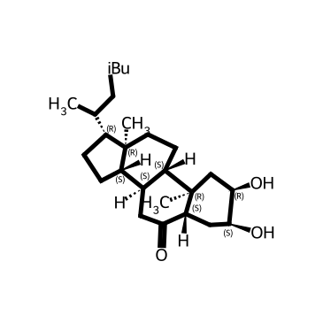 CCC(C)CC(C)[C@H]1CC[C@H]2[C@@H]3CC(=O)[C@H]4C[C@H](O)[C@H](O)C[C@]4(C)[C@H]3CC[C@]12C